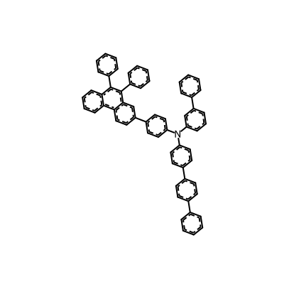 c1ccc(-c2ccc(-c3ccc(N(c4ccc(-c5ccc6c(c5)c(-c5ccccc5)c(-c5ccccc5)c5ccccc56)cc4)c4cccc(-c5ccccc5)c4)cc3)cc2)cc1